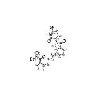 CCN(CC)C(=O)[C@@H]1CCCN1CCCOc1cccc2c1CN(C1CCC(=O)NC1=O)C2=O